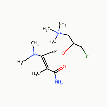 CCC/C(=C(/C)C(N)=O)N(C)C.C[N+](C)(C)CC(O)CCl